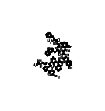 CC(C)C[C@H](NC(=O)[C@@H](Cc1ccccc1)NC(=O)[C@H](Cc1ccc(O)cc1)NC(=O)[C@H](CO)NC(=O)[C@@H](Cc1c[nH]c2ccccc12)NC(=O)[C@H](Cc1ccc(Br)cc1)NC(=O)[C@H](N)Cc1ccccc1)C(=O)N[C@@H](CCCNC(=N)N)C(=O)N1CCC[C@H]1C(=O)NCC(N)=O